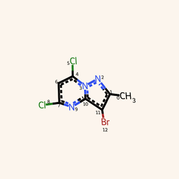 Cc1nn2c(Cl)cc(Cl)nc2c1Br